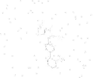 CCOC1=C(C#N)C(c2ccc(-c3ccccc3SC)cc2)C(C(=O)O)N1C